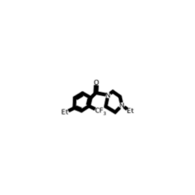 CCc1ccc(C(=O)N2CCN(CC)CC2)c(C(F)(F)F)c1